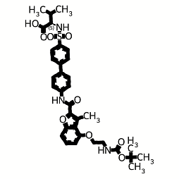 Cc1c(C(=O)Nc2ccc(-c3ccc(S(=O)(=O)N[C@H](C(=O)O)C(C)C)cc3)cc2)oc2cccc(OCCNC(=O)OC(C)(C)C)c12